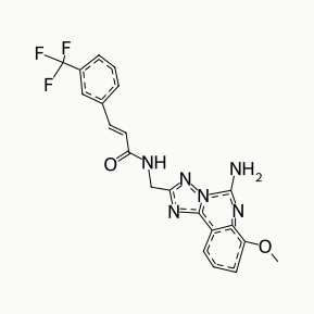 COc1cccc2c1nc(N)n1nc(CNC(=O)C=Cc3cccc(C(F)(F)F)c3)nc21